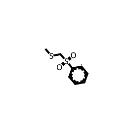 CSCS(=O)(=O)c1[c]cccc1